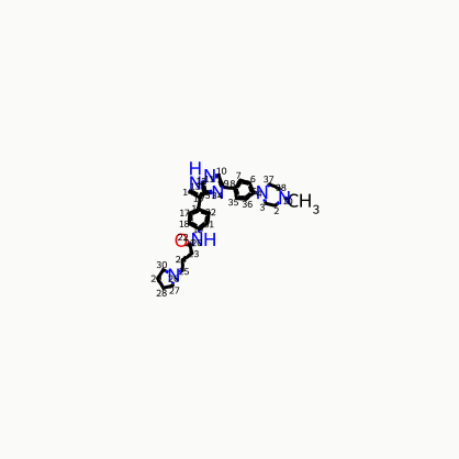 CN1CCN(c2ccc(-c3cnc4[nH]cc(-c5ccc(NC(=O)CCCN6CCCC6)cc5)c4n3)cc2)CC1